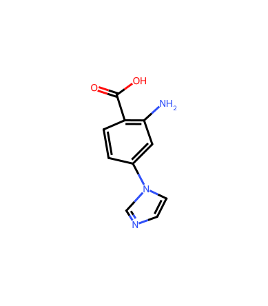 Nc1cc(-n2ccnc2)ccc1C(=O)O